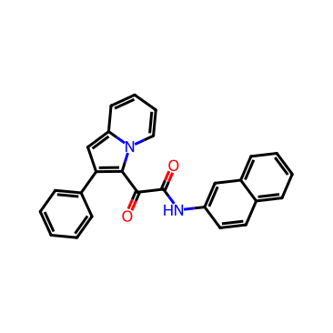 O=C(Nc1ccc2ccccc2c1)C(=O)c1c(-c2ccccc2)cc2ccccn12